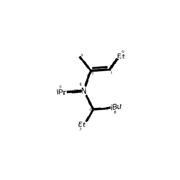 CC/C=C(\C)N(C(C)C)C(CC)C(C)CC